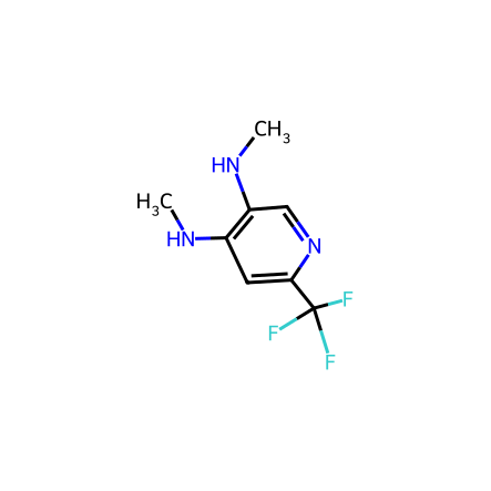 CNc1cnc(C(F)(F)F)cc1NC